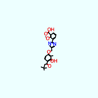 COc1c(C(=O)O)cccc1-c1ncc(COc2ccc(C(=O)CC(C)(C)C)c(O)c2C)cn1